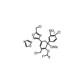 COC1(c2ccc(Cl)c([N+](=O)[O-])c2)CC(c2noc(CCl)n2)=CC(CCl)=C1OC(F)F.c1ncon1